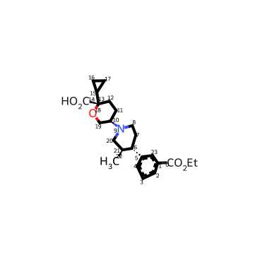 CCOC(=O)c1cccc([C@H]2CCN([C@@H]3CC[C@@](C(=O)O)(C4CC4)OC3)C[C@@H]2C)c1